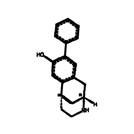 Oc1cc2c(cc1-c1ccccc1)C[C@@H]1NCC[C@]23CCCCC13